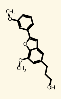 COc1cccc(-c2cc3cc(CCCO)cc(OC)c3o2)c1